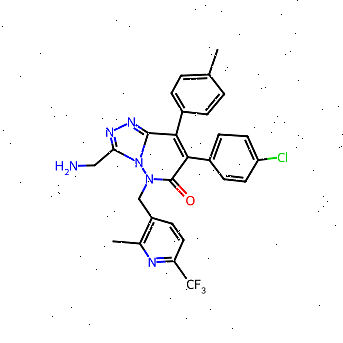 Cc1ccc(-c2c(-c3ccc(Cl)cc3)c(=O)n(Cc3ccc(C(F)(F)F)nc3C)n3c(CN)nnc23)cc1